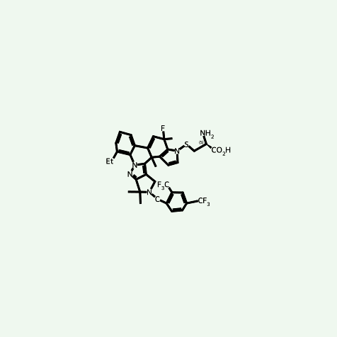 CCc1cccc2c1-n1nc3c(c1C1(C)C2=CC(C)(F)c2c1ccn2SC[C@@H](N)C(=O)O)CN(Cc1ccc(C(F)(F)F)cc1C(F)(F)F)C3(C)C